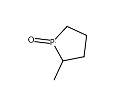 CC1CCC[P]1=O